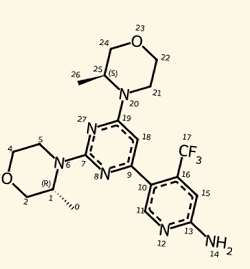 C[C@@H]1COCCN1c1nc(-c2cnc(N)cc2C(F)(F)F)cc(N2CCOC[C@@H]2C)n1